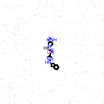 B(c1nnc(-c2cnc(NC3Cc4ccccc4C3)nc2)o1)N1CCc2[nH]nnc2C1